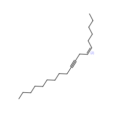 CCCCC/C=C\CC#CCCCCCCCCC